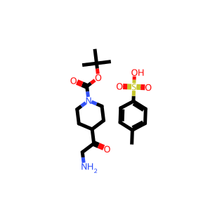 CC(C)(C)OC(=O)N1CCC(C(=O)CN)CC1.Cc1ccc(S(=O)(=O)O)cc1